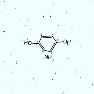 N.Oc1ccc(O)cc1